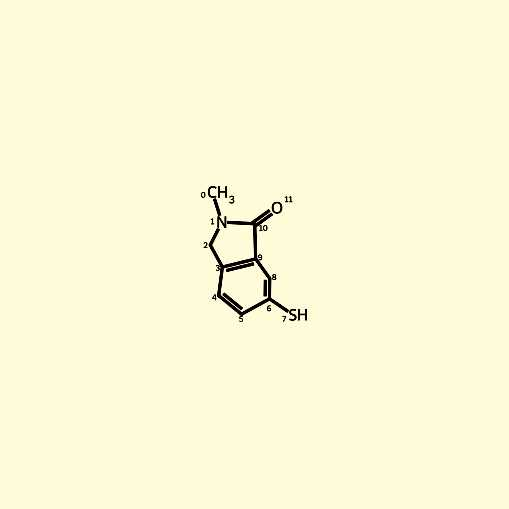 CN1Cc2ccc(S)cc2C1=O